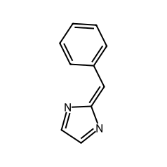 C1=NC(=Cc2ccccc2)N=C1